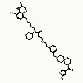 Cc1cc(C(=O)N2CCOC3(CCN(Cc4cccc(CCOCCC(=O)N(CCNCCc5ccc(O)c6c5OCC(=O)N6)C5CCCCC5)c4)CC3)C2)cs1